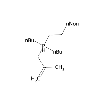 C=C(C)C[PH](CCCC)(CCCC)CCCCCCCCCCC